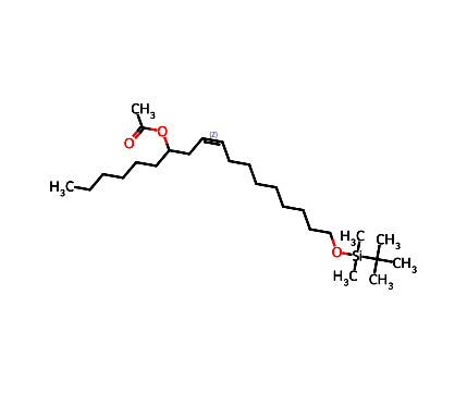 CCCCCCC(C/C=C\CCCCCCCCO[Si](C)(C)C(C)(C)C)OC(C)=O